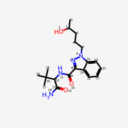 CC(O)CCCn1nc(C(=O)NC(C(N)=O)C(C)(C)C)c2ccccc21